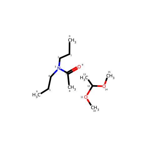 CCCN(CCC)C(C)=O.COC(C)OC